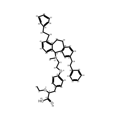 CCOC(Cc1ccc(OCCN(C)C2c3cc(CCc4ccccc4)ccc3CCc3c(CCc4ccccc4)cccc32)cc1)C(=O)O